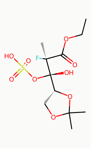 CCOC(=O)[C@](C)(F)[C@@](O)(OS(=O)(=O)O)[C@H]1COC(C)(C)O1